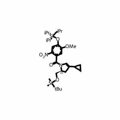 COc1cc(C(=O)N2C=C(C3CC3)C[C@H]2CO[Si](C)(C)C(C)(C)C)c([N+](=O)[O-])cc1O[Si](C(C)C)(C(C)C)C(C)C